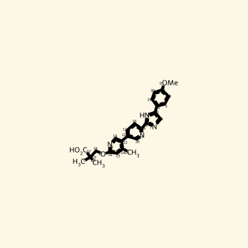 COc1ccc(-c2cnc(-c3ccc(-c4cnc(OCC(C)(C)C(=O)O)cc4C)cn3)[nH]2)cc1